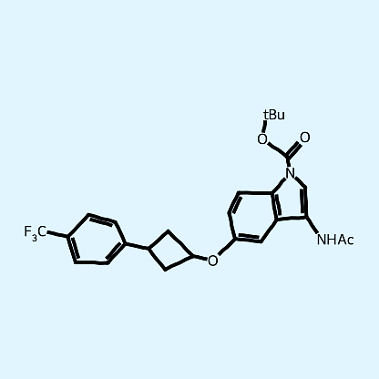 CC(=O)Nc1cn(C(=O)OC(C)(C)C)c2ccc(OC3CC(c4ccc(C(F)(F)F)cc4)C3)cc12